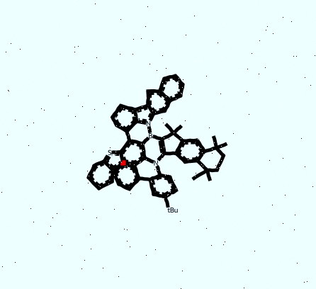 CC(C)(C)c1ccc(N2C3=C(B4c5c2cc2c(sc6ccccc62)c5-c2cccc5c6cc7ccccc7cc6n4c25)C(C)(C)c2cc4c(cc23)C(C)(C)CCC4(C)C)c(-c2ccccc2)c1